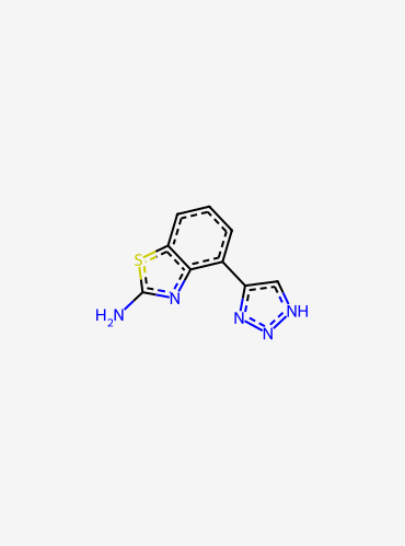 Nc1nc2c(-c3c[nH]nn3)cccc2s1